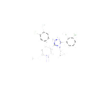 CC1C[C@H](c2ccc(F)c(F)c2)[C@@H](c2nnc(-c3cccc(Cl)c3Cl)n2C2CC2)CN1